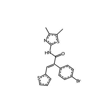 Cc1nc(NC(=O)/C(=C/c2cccs2)c2ccc(Br)cc2)sc1C